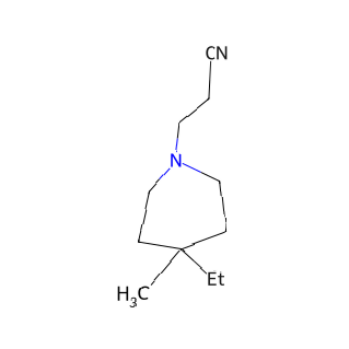 CCC1(C)CCN(CCC#N)CC1